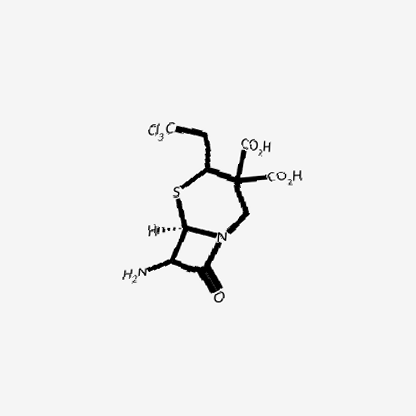 NC1C(=O)N2CC(C(=O)O)(C(=O)O)C(CC(Cl)(Cl)Cl)S[C@H]12